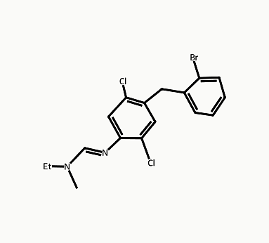 CCN(C)C=Nc1cc(Cl)c(Cc2ccccc2Br)cc1Cl